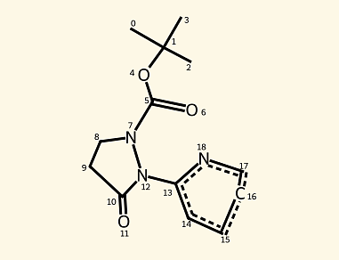 CC(C)(C)OC(=O)N1CCC(=O)N1c1ccccn1